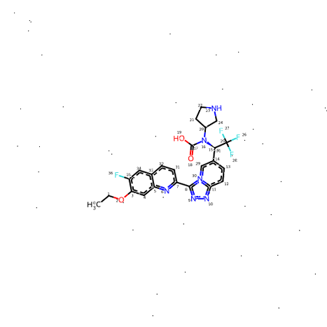 CCOc1cc2nc(-c3nnc4ccc([C@@H](N(C(=O)O)C5CCNC5)C(F)(F)F)cn34)ccc2cc1F